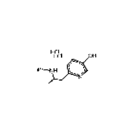 CC(C)NC(C)Cc1ccc(O)cn1.Cl.Cl